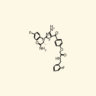 C[C@H](C(N)=O)N(c1ccc(F)cc1)c1nc(N)c(C(=O)c2ccc(OCC(=O)NCc3ccccc3F)cc2)s1